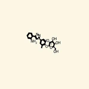 Cc1cc(-n2cc(-c3ccccc3N)nn2)ccc1O[C@H]1O[C@H](CO)[C@@H](O)[C@H](O)[C@@H]1O